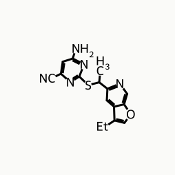 CCc1coc2cnc(C(C)Sc3nc(N)cc(C#N)n3)cc12